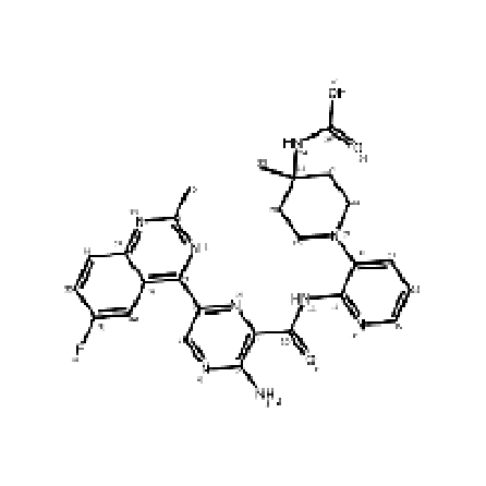 Cc1nc(-c2cnc(N)c(C(=O)Nc3ncccc3N3CCC(C)(NC(=O)O)CC3)n2)c2cc(F)ccc2n1